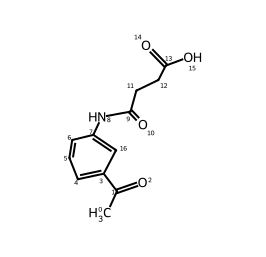 CC(=O)c1cccc(NC(=O)CCC(=O)O)c1